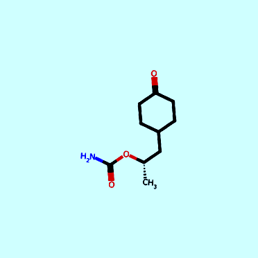 C[C@@H](CC1CCC(=O)CC1)OC(N)=O